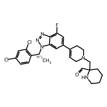 C[C@H](c1ccc(Cl)cc1Cl)n1nnc2c(F)cc(C3=CCN(CC4(C=O)CCCCN4)CC3)cc21